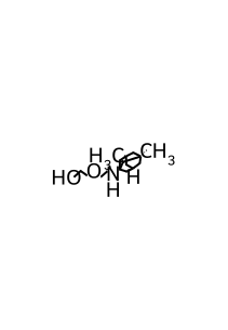 C[C@]12C[C@@H]3C[C@](C)(C1)C[C@](NCCOCCO)(C3)C2